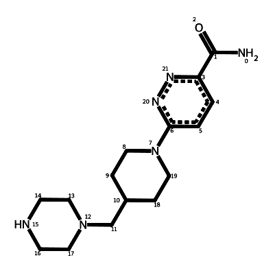 NC(=O)c1ccc(N2CCC(CN3CCNCC3)CC2)nn1